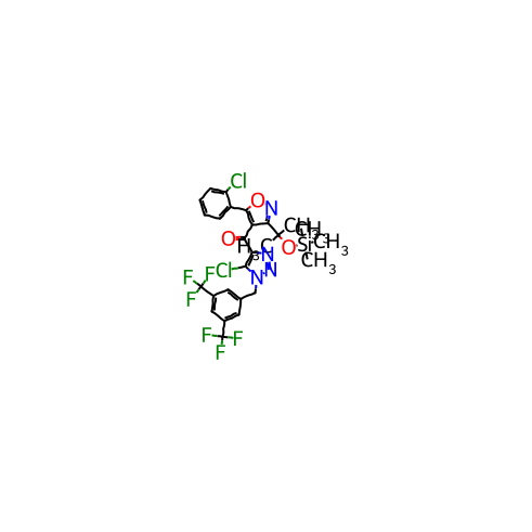 CC(C)(O[Si](C)(C)C)c1noc(-c2ccccc2Cl)c1C(=O)c1nnn(Cc2cc(C(F)(F)F)cc(C(F)(F)F)c2)c1Cl